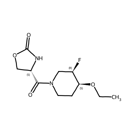 CCO[C@H]1CCN(C(=O)[C@@H]2COC(=O)N2)C[C@H]1F